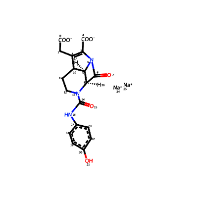 O=C([O-])CC1=C(C(=O)[O-])N2C(=O)[C@@H]3[C@H]2C1CCN3C(=O)Nc1ccc(O)cc1.[Na+].[Na+]